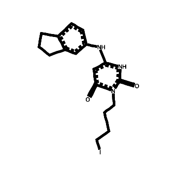 O=c1cc(Nc2ccc3c(c2)CCC3)[nH]c(=O)n1CCCCI